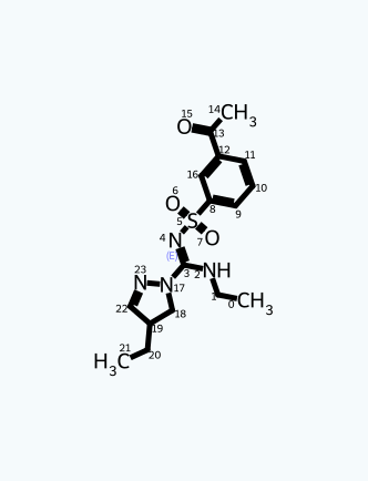 CCN/C(=N\S(=O)(=O)c1cccc(C(C)=O)c1)N1CC(CC)C=N1